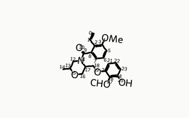 C=Cc1c(OC)cccc1C(=O)N1CC(C)OCC1COc1cccc(O)c1C=O